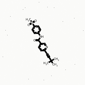 CC(C)(C)C#Cc1ccc(C(=O)Nc2ccc(S(C)(=O)=O)cc2)cn1